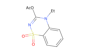 CCN1C(OC(C)=O)=NS(=O)(=O)c2ccccc21